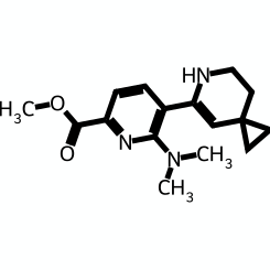 COC(=O)c1ccc(C2=CC3(CCN2)CC3)c(N(C)C)n1